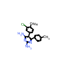 COc1ccc(-c2c(N)nc(N)nc2-c2ccc(C)cc2)cc1Cl